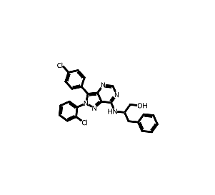 OCC(Cc1ccccc1)Nc1ncnc2c(-c3ccc(Cl)cc3)n(-c3ccccc3Cl)nc12